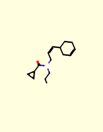 CCCN(C/C=C\C1CC=CCC1)C(=O)C1CC1